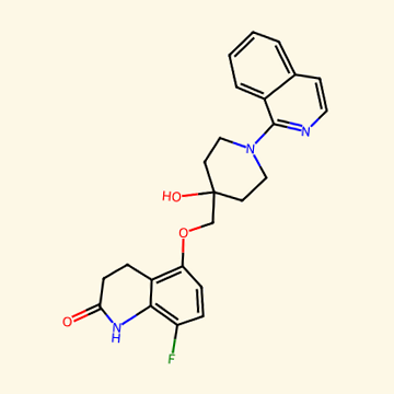 O=C1CCc2c(OCC3(O)CCN(c4nccc5ccccc45)CC3)ccc(F)c2N1